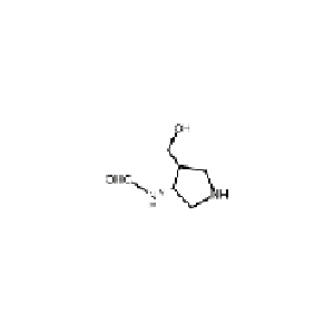 O=CN[C@H]1CNCC1CO